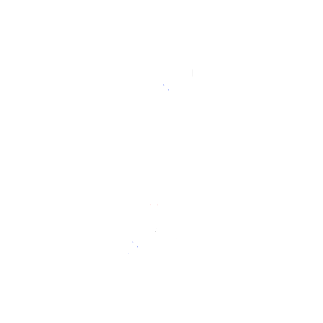 CNC1C=CC(COC(N)=O)=CC1